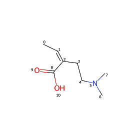 CC=C(CCN(C)C)C(=O)O